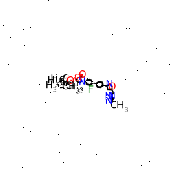 Cc1cn(CC2CC(c3ccc(-c4ccc(N5C[C@H](CO[Si](C)(C)C(C)(C)C)OC5=O)cc4F)cc3)=NO2)nn1